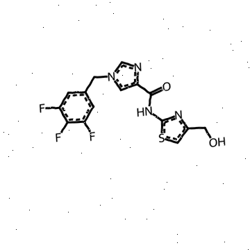 O=C(Nc1nc(CO)cs1)c1cn(Cc2cc(F)c(F)c(F)c2)cn1